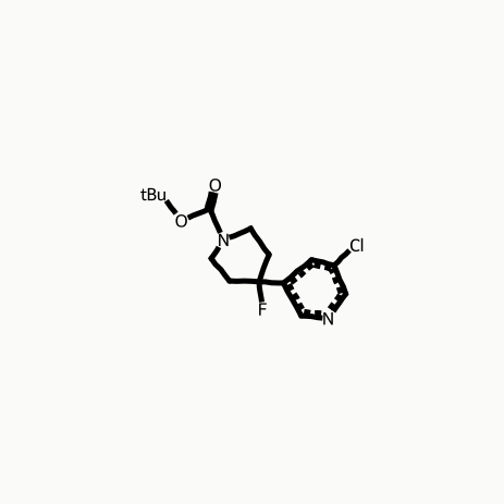 CC(C)(C)OC(=O)N1CCC(F)(c2cncc(Cl)c2)CC1